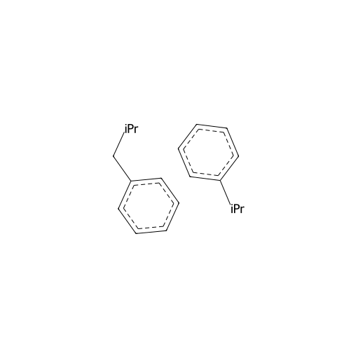 CC(C)Cc1ccccc1.CC(C)c1ccccc1